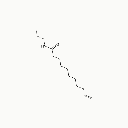 C=CCCCCCCCCC(=O)NCCC